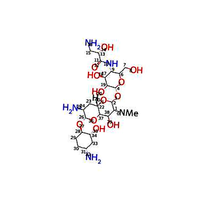 CNC1C(O[C@H]2OC(CO)[C@@H](NC(=O)[C@@H](O)CN)[C@H](O)C2O)O[C@H]2C[C@H](N)[C@@H](O[C@@H]3CC[C@@H](N)C[C@H]3O)OC2C1O